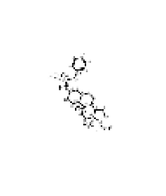 CCC[C@@H](C)[C@H]1CCC2C3CCC4CC(N[C@@H](Cc5ccccc5)C(=O)O)CC[C@]4(C)C3CC[C@@]21C